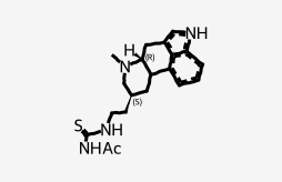 CC(=O)NC(=S)NCC[C@@H]1CC2c3cccc4[nH]cc(c34)C[C@H]2N(C)C1